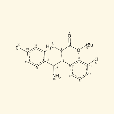 CC(C(=O)OC(C)(C)C)C(c1cccc(Cl)c1)C(N)c1ccc(Cl)cc1